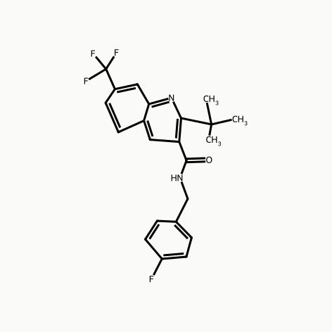 CC(C)(C)c1nc2cc(C(F)(F)F)ccc2cc1C(=O)NCc1ccc(F)cc1